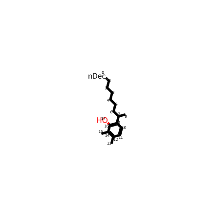 CCCCCCCCCCCCCCCCC(C)c1ccc(C)c(C)c1O